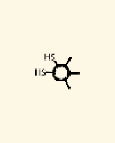 Cc1cc(S)c(S)c(C)c1C